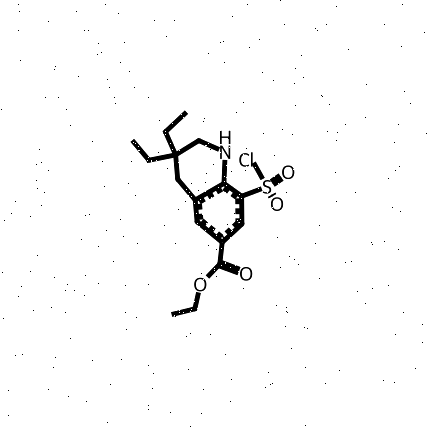 CCOC(=O)c1cc2c(c(S(=O)(=O)Cl)c1)NCC(CC)(CC)C2